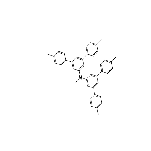 Cc1ccc(-c2cc(-c3ccc(C)cc3)cc(N(C)c3cc(-c4ccc(C)cc4)cc(-c4ccc(C)cc4)c3)c2)cc1